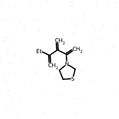 C=C(CC)C(=C)C(=C)N1CCSC1